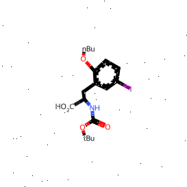 CCCCOc1ccc(I)cc1CC(NC(=O)OC(C)(C)C)C(=O)O